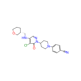 N#Cc1ccc(N2CCC(n3ncc(NC[C@H]4CCCOC4)c(Cl)c3=O)CC2)cc1